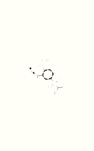 COc1ccc(S(=O)(=O)C(F)F)cc1N=C=O